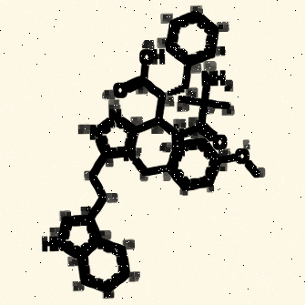 COc1ccc(Cn2c(CCc3c[nH]c4ccccc34)nnc2C(NC(=O)C(C)(C)N)[C@@H](Cc2ccccc2)C(=O)O)cc1